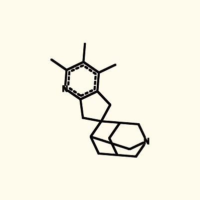 Cc1nc2c(c(C)c1C)CC1(C2)C2CC3CC1CN(C3)C2